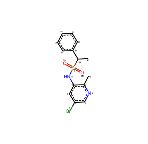 Cc1ncc(Br)cc1NS(=O)(=O)C(C)c1ccccc1